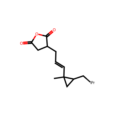 CC(C)CC1CC1(C)/C=C/CC1CC(=O)OC1=O